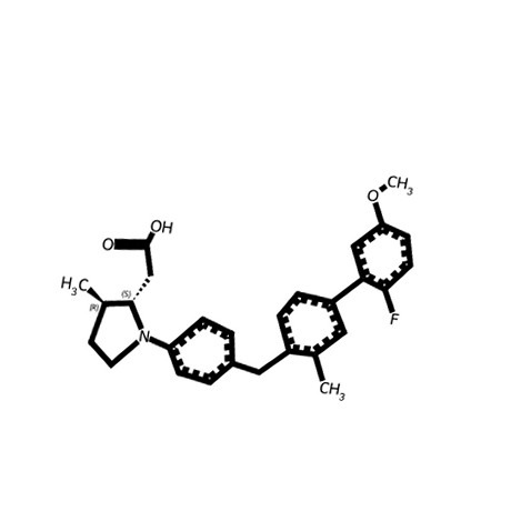 COc1ccc(F)c(-c2ccc(Cc3ccc(N4CC[C@@H](C)[C@@H]4CC(=O)O)cc3)c(C)c2)c1